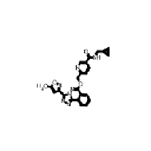 Cc1cc(-c2nnc3c4ccccc4c(OCc4ccc(C(=O)NCC5CC5)cn4)nn23)no1